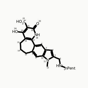 CCCCCNCc1cc2cc3c(cc2n1C)CCCc1c-3[nH]c(=O)c(C(=O)O)c1O